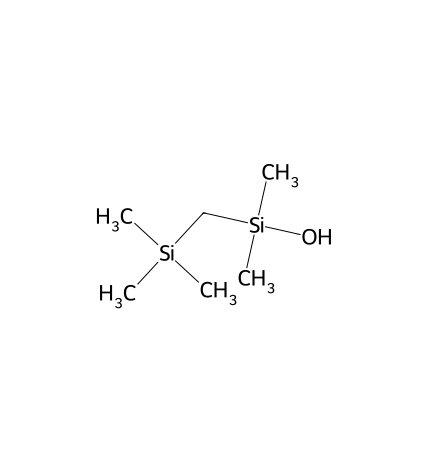 C[Si](C)(C)C[Si](C)(C)O